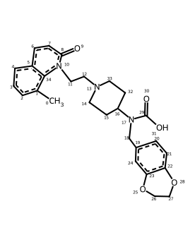 Cc1cccc2ccc(=O)n(CCN3CCC(N(Cc4ccc5c(c4)OCCO5)C(=O)O)CC3)c12